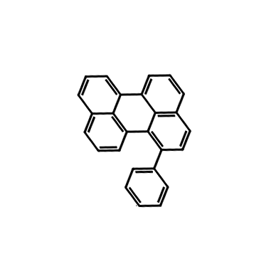 [c]1ccc(-c2ccc3cccc4c5cccc6cccc(c2c34)c65)cc1